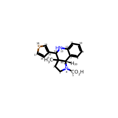 CC12CCN(C(=O)O)[C@H]1c1ccccc1NC2c1ccsc1